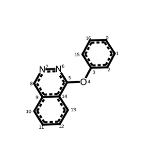 c1ccc(Oc2nncc3ccccc23)cc1